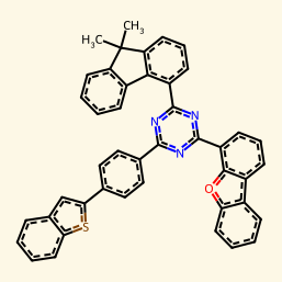 CC1(C)c2ccccc2-c2c(-c3nc(-c4ccc(-c5cc6ccccc6s5)cc4)nc(-c4cccc5c4oc4ccccc45)n3)cccc21